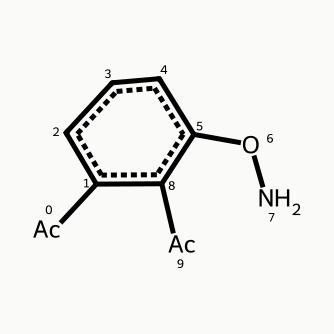 CC(=O)c1cccc(ON)c1C(C)=O